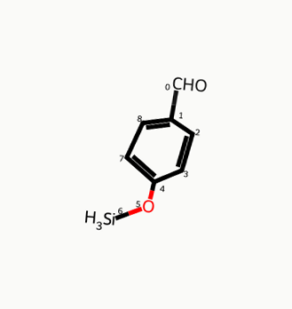 O=Cc1ccc(O[SiH3])cc1